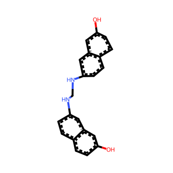 Oc1ccc2ccc(NCNc3ccc4ccc(O)cc4c3)cc2c1